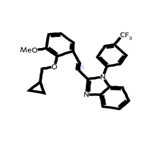 COc1cccc(/C=C/c2nc3ccccc3n2-c2ccc(C(F)(F)F)cc2)c1OCC1CC1